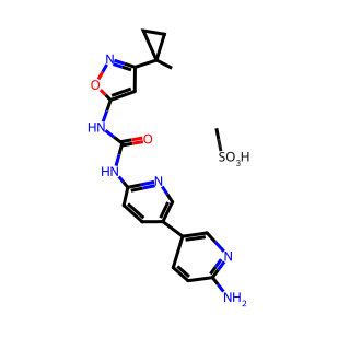 CC1(c2cc(NC(=O)Nc3ccc(-c4ccc(N)nc4)cn3)on2)CC1.CS(=O)(=O)O